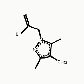 C=C(Br)Cn1nc(C)c(C=O)c1C